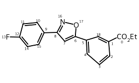 CCOC(=O)c1cccc(-c2cc(-c3ccc(F)cc3)no2)c1